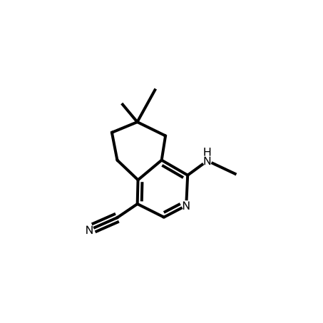 CNc1ncc(C#N)c2c1CC(C)(C)CC2